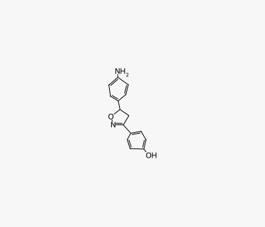 Nc1ccc(C2CC(c3ccc(O)cc3)=NO2)cc1